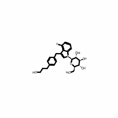 OCCCc1ccc(Cc2cn([C@@H]3O[C@H](CO)[C@@H](O)[C@H](O)[C@H]3O)c3cccc(F)c23)cc1